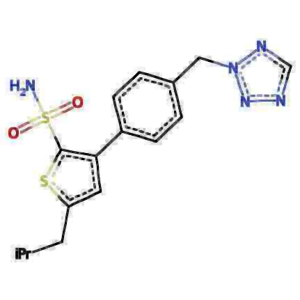 CC(C)Cc1cc(-c2ccc(Cn3ncnn3)cc2)c(S(N)(=O)=O)s1